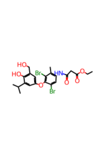 CCOC(=O)CC(=O)Nc1cc(Br)c(Oc2cc(CO)c(O)c(C(C)C)c2)c(Br)c1C